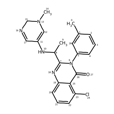 Cc1cccc(-n2c(C(C)NC3=CN(C)CN=C3)nc3cccc(Cl)c3c2=O)c1